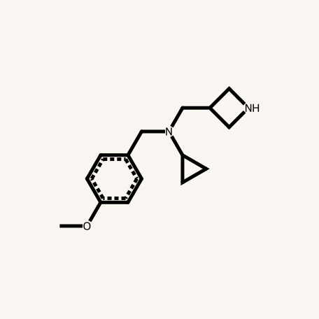 COc1ccc(CN(CC2CNC2)C2CC2)cc1